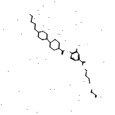 C=CC(=O)OCCCCOC(=O)c1ccc(OC(=O)C2CCC(C3CCC(CCCCC)CC3)CC2)c(OC)c1